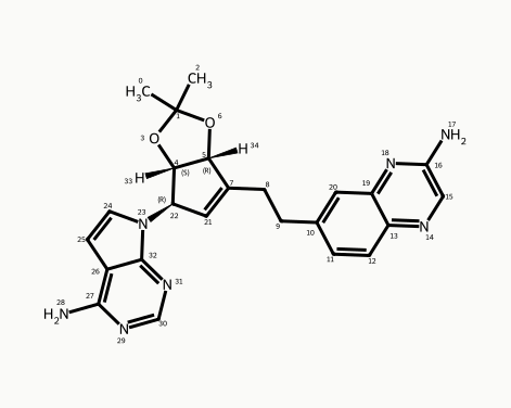 CC1(C)O[C@@H]2[C@H](O1)C(CCc1ccc3ncc(N)nc3c1)=C[C@H]2n1ccc2c(N)ncnc21